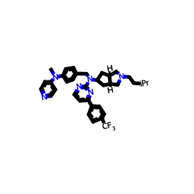 CC(C)CCN1C[C@H]2CC(N(Cc3ccc(N(C)c4ccncc4)cc3)c3nccc(-c4ccc(C(F)(F)F)cc4)n3)C[C@H]2C1